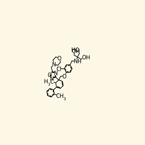 Cc1ccccc1C1=CC=CC(COc2ccc(CNC(CO)(CO)CO)cc2Cl)(c2noc(CN3CCOCC3)n2)C1C